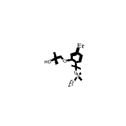 CCc1ccc(C(C)(C)O[Si](C)(C)CC)c(OCC(C)(C)O)c1